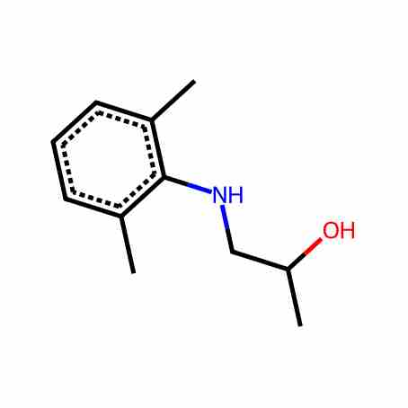 Cc1cccc(C)c1NCC(C)O